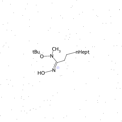 CCCCCCCCC/C(=N/O)N(C)OC(C)(C)C